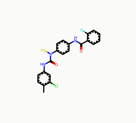 Cc1ccc(NC(=O)N(S)c2ccc(NC(=O)c3ccccc3F)cc2)cc1Cl